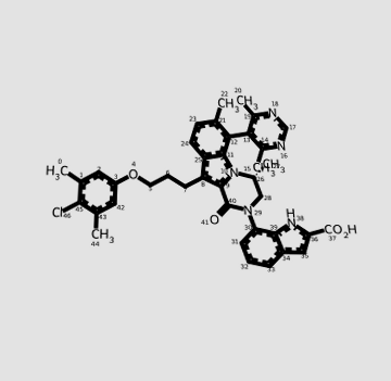 Cc1cc(OCCCc2c3n(c4c(-c5c(C)ncnc5C)c(C)ccc24)[C@H](C)CN(c2cccc4cc(C(=O)O)[nH]c24)C3=O)cc(C)c1Cl